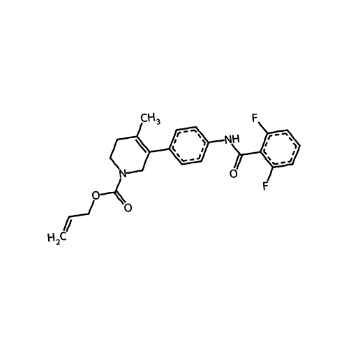 C=CCOC(=O)N1CCC(C)=C(c2ccc(NC(=O)c3c(F)cccc3F)cc2)C1